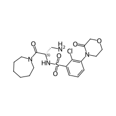 NC[C@H](NS(=O)(=O)c1cccc(N2CCOCC2=O)c1Cl)C(=O)N1CCCCCC1